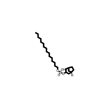 CCCCCCCCCCCCCCCCOP(=O)(O)OC1CC2CC[C@@H](C2)C1